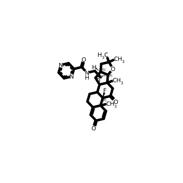 CC1(C)C[C@@H]2CC3C4CCC5=CC(=O)C=CC5(C)[C@@]4(F)C(=O)CC3(C)[C@]2(C(=O)CNC(=O)c2cnccn2)O1